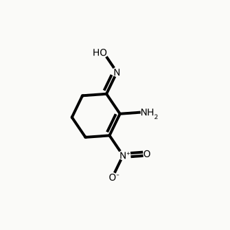 NC1=C([N+](=O)[O-])CCCC1=NO